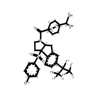 O=C(N1CCC2(S(=O)(=O)c3ccc(Cl)cc3)c3ccc(C(F)(C(F)(F)F)C(F)(F)F)cc3CC12)C12CCC(C(O)O)(CC1)CC2